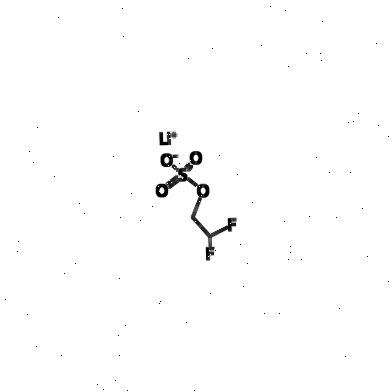 O=S(=O)([O-])OCC(F)F.[Li+]